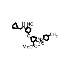 COC(=O)c1cc(Oc2ccc(N=O)c(NCc3ccccc3)c2)ccc1NS(=O)(=O)c1ccc(C)cc1